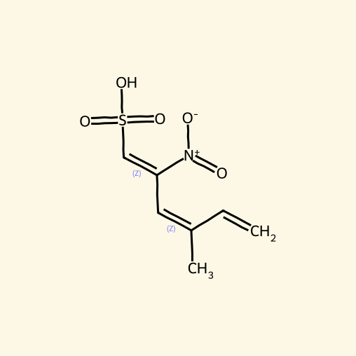 C=C/C(C)=C\C(=C\S(=O)(=O)O)[N+](=O)[O-]